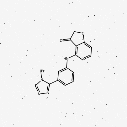 CC(C)n1cnnc1-c1cccc(Nc2cccc3c2C(=O)CO3)c1